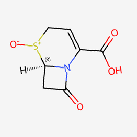 O=C(O)C1=CC[S+]([O-])[C@@H]2CC(=O)N12